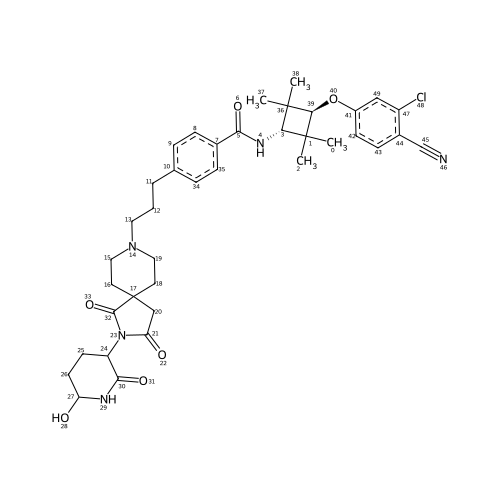 CC1(C)[C@H](NC(=O)c2ccc(CCCN3CCC4(CC3)CC(=O)N(C3CCC(O)NC3=O)C4=O)cc2)C(C)(C)[C@H]1Oc1ccc(C#N)c(Cl)c1